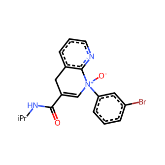 CC(C)NC(=O)C1=C[N+]([O-])(c2cccc(Br)c2)c2ncccc2C1